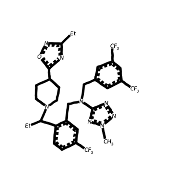 CCc1noc(C2CCN(C(CC)c3ccc(C(F)(F)F)cc3CN(Cc3cc(C(F)(F)F)cc(C(F)(F)F)c3)c3nnn(C)n3)CC2)n1